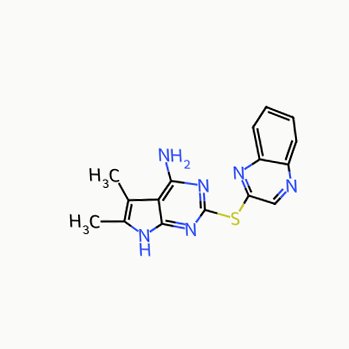 Cc1[nH]c2nc(Sc3cnc4ccccc4n3)nc(N)c2c1C